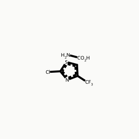 FC(F)(F)c1csc(Cl)n1.NC(=O)O